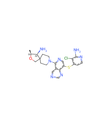 C[C@@H]1OCC2(CCN(c3ncc(Sc4ccnc(N)c4Cl)c4ncncc34)CC2)[C@@H]1N